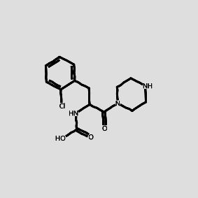 O=C(O)NC(Cc1ccccc1Cl)C(=O)N1CCNCC1